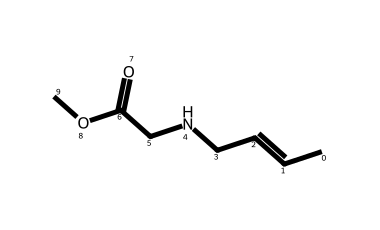 C/C=C/CNCC(=O)OC